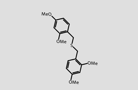 COc1ccc(CSCc2ccc(OC)cc2OC)c(OC)c1